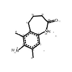 Cc1cc2c(c(C)c1N)CCCC(=O)N2